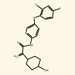 C=C(C(=O)Nc1ccc(Oc2ccc(F)cc2F)cn1)C1CCC(O)CC1